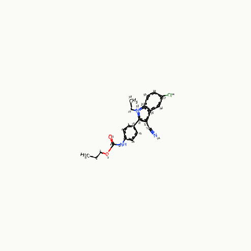 CCCOC(=O)Nc1ccc(-c2c(C#N)c3cc(Cl)ccc3n2CC)cc1